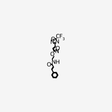 O=C(C=Cc1ccccc1)NCCOc1cc(-c2noc(C(F)(F)F)n2)on1